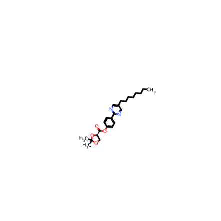 CCCCCCCCc1cnc(-c2ccc(OC(=O)[C@H]3COC(C)(C)O3)cc2)nc1